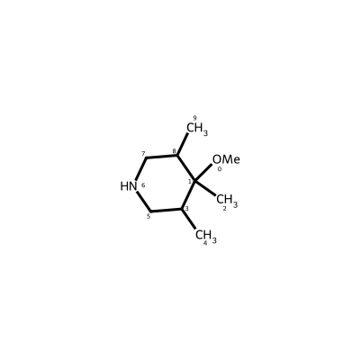 COC1(C)C(C)CNCC1C